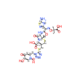 CC(C)(O/N=C(\C(=O)N[C@@H]1C(=O)N2C(C(=O)O)=C(CSc3nnnn3Cc3cc(=O)c(O)cn3O)CS[C@@H]12)c1nsc(N)n1)C(=O)O